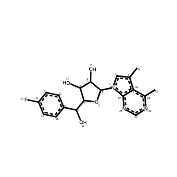 Cc1cn(C2OC(C(O)c3ccc(F)cc3)C(O)C2O)c2ncnc(C)c12